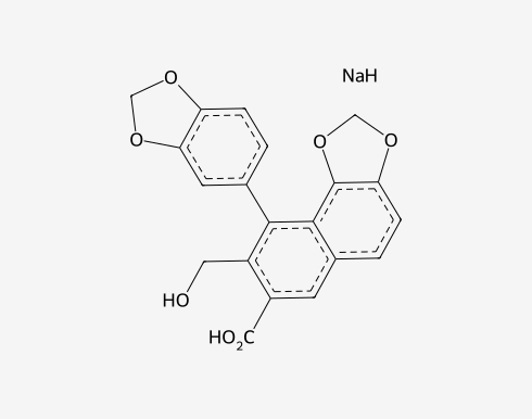 O=C(O)c1cc2ccc3c(c2c(-c2ccc4c(c2)OCO4)c1CO)OCO3.[NaH]